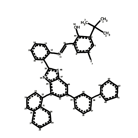 CC(C)(C)c1cc(I)cc(/C=N/c2ccccc2-c2nc3c(-c4cccc5ccccc45)cc(-c4cccc(-c5ccccc5)c4)cc3s2)c1O